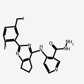 NNC(=O)c1cnccc1Nc1nc(-c2cc(CI)ccc2F)nc2c1CCC2